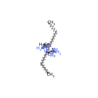 CCCCCCCC/C=C\CCCCCCCCN(CCCCN(CCCCCCCC/C=C\CCCCCCCC)C(C)CNC(=N)N)CC(C)CNC(=N)N